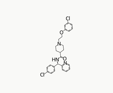 O=C(N[C@H](c1ccc(Cl)cc1)c1ccccn1)C1CCN(CCOc2cccc(Cl)c2)CC1